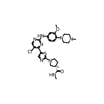 CNC(=O)[C@H]1CCN(c2ncc(-c3nc(Nc4ccc(N5CCN(C)CC5)c(OC)c4)ncc3Cl)s2)C1